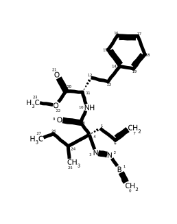 C=BN=N[C@](CC=C)(C(=O)N[C@@H](CCc1ccccc1)C(=O)OC)C(C)CC